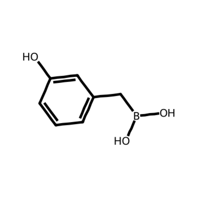 OB(O)Cc1cccc(O)c1